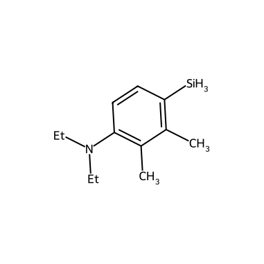 CCN(CC)c1ccc([SiH3])c(C)c1C